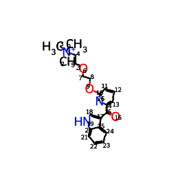 C[N+](C)(C)CCOCCOc1cccc(C(=O)c2c[nH]c3ccccc23)n1